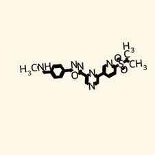 CNCc1ccc(-c2nnc(-c3cncc(-c4ccc(S(=O)(=O)C(C)C)nc4)n3)o2)cc1